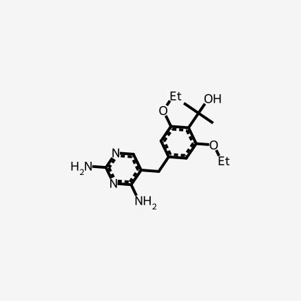 CCOc1cc(Cc2cnc(N)nc2N)cc(OCC)c1C(C)(C)O